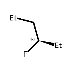 [CH2]CC[C@H](F)CC